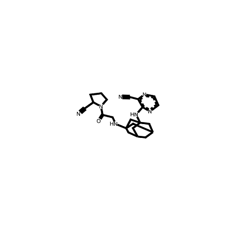 N#Cc1nccnc1NC12CC3CC(CC(NCC(=O)N4CCCC4C#N)(C3)C1)C2